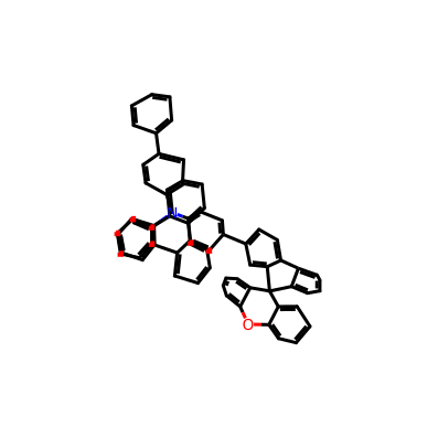 c1ccc(-c2ccc(N(c3ccc(-c4ccc5c(c4)C4(c6ccccc6Oc6ccccc64)c4ccccc4-5)cc3)c3ccccc3-c3ccccc3-c3ccccc3-c3ccccc3)cc2)cc1